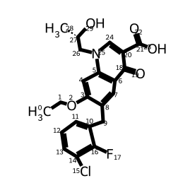 CCOc1cc2c(cc1Cc1cccc(Cl)c1F)c(=O)c(C(=O)O)cn2C[C@H](C)O